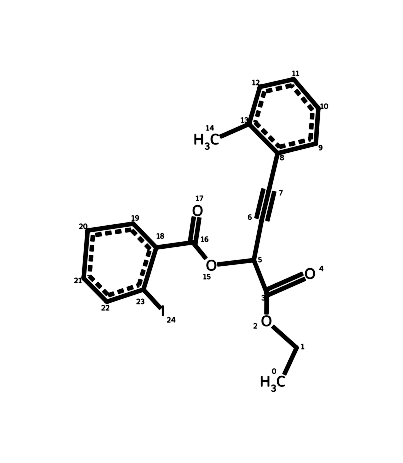 CCOC(=O)C(C#Cc1ccccc1C)OC(=O)c1ccccc1I